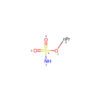 CCCOS([NH])(=O)=O